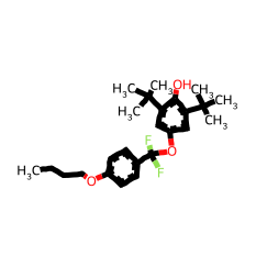 CCCCOc1ccc(C(F)(F)Oc2cc(C(C)(C)C)c(O)c(C(C)(C)C)c2)cc1